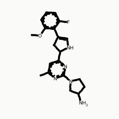 COc1cccc(F)c1C1=CNC(c2cc(C)nc(N3CCC(N)C3)n2)C1